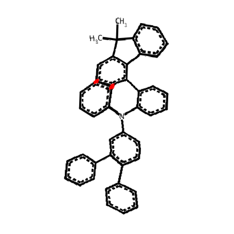 CC1(C)c2ccccc2-c2c(-c3ccccc3N(c3ccccc3)c3ccc(-c4ccccc4)c(-c4ccccc4)c3)cccc21